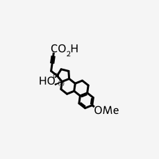 COc1ccc2c(c1)CCC1C2CC[C@@]2(C)C1CC[C@]2(O)CC#CC(=O)O